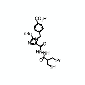 CCCCc1ncc(C(=O)NNC(=O)C(CS)CC(C)C)n1Cc1ccc(C(=O)O)cc1